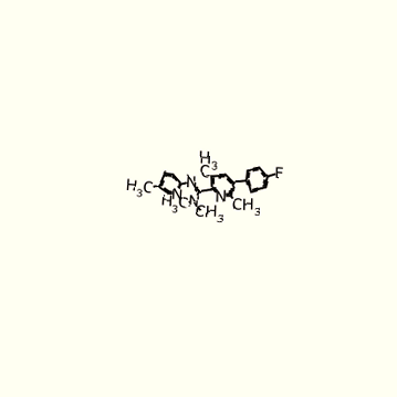 Cc1ccc(/N=C(/c2nc(C)c(-c3ccc(F)cc3)cc2C)N(C)C)nc1